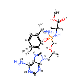 CCCOC(=O)C(C)(C)NP(=O)(CO[C@@H](C)Cn1cnc2c(N)ncnc21)N[C@@H](C)c1ccc(C(F)(F)F)cc1